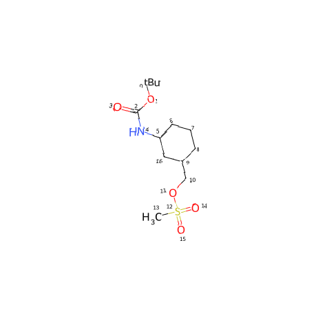 CC(C)(C)OC(=O)NC1CCCC(COS(C)(=O)=O)C1